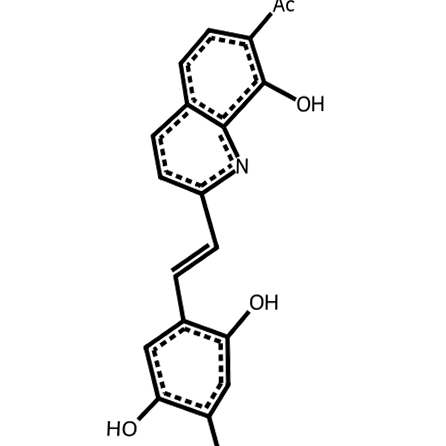 CC(=O)c1ccc2ccc(/C=C/c3cc(O)c(O)cc3O)nc2c1O